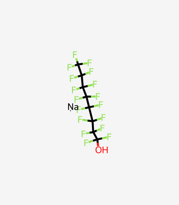 OC(F)(F)C(F)(F)C(F)(F)C(F)(F)C(F)(F)C(F)(F)C(F)(F)C(F)(F)F.[Na]